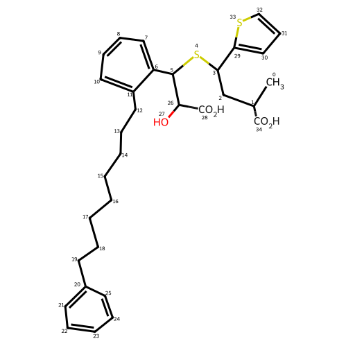 CC(CC(SC(c1ccccc1CCCCCCCCc1ccccc1)C(O)C(=O)O)c1cccs1)C(=O)O